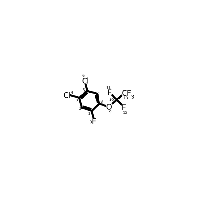 Fc1cc(Cl)c(Cl)cc1OC(F)(F)C(F)(F)F